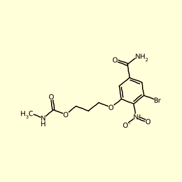 CNC(=O)OCCCOc1cc(C(N)=O)cc(Br)c1[N+](=O)[O-]